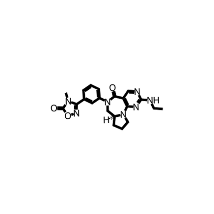 CCNc1ncc2c(n1)N1CCC[C@H]1CN(c1cccc(-c3noc(=O)n3C)c1)C2=O